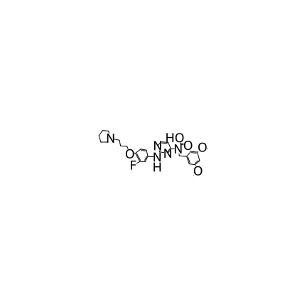 COc1cc(CN(C(=O)O)c2ccnc(Nc3ccc(OCCCN4CCCCC4)c(F)c3)n2)cc(OC)c1